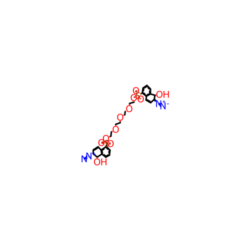 [N-]=[N+]=C1C=Cc2c(cccc2S(=O)(=O)OCCOCCOCCOCCOS(=O)(=O)c2cccc3c2C=CC(=[N+]=[N-])C3O)C1O